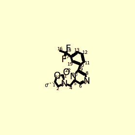 C[C@H]1CN(Cc2cncc(-c3cccc(C(C)(F)F)c3)n2)C(=O)O1